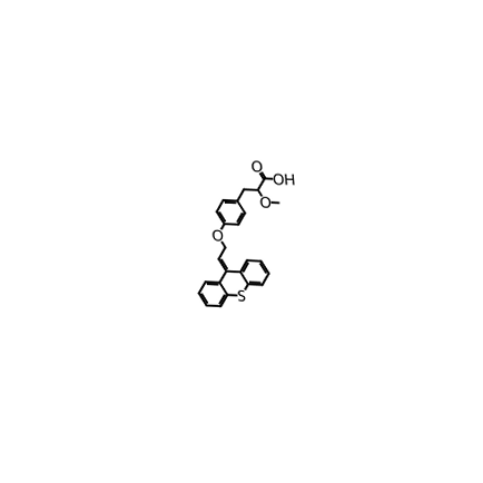 COC(Cc1ccc(OCC=C2c3ccccc3Sc3ccccc32)cc1)C(=O)O